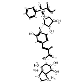 CC(=Cc1ccc(O[C@@H]2O[C@H](C(C)=C(C)S(=O)(=O)c3ccccc3)[C@@H](O)[C@@H]2O)c(O)c1)C(=O)N[C@@H]1[C@H](O)[C@@H](O)[C@H]2OCO[C@H]2[C@@H]1O